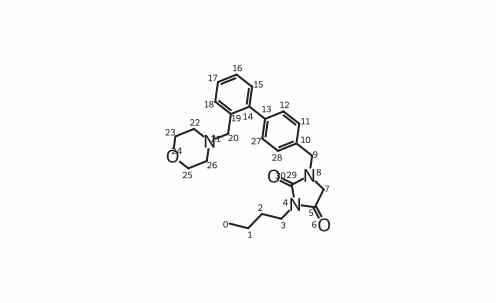 CCCCN1C(=O)CN(Cc2ccc(-c3ccccc3CN3CCOCC3)cc2)C1=O